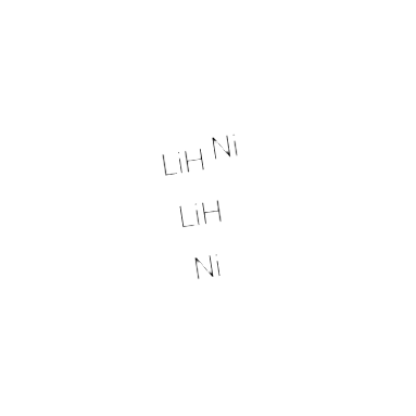 [LiH].[LiH].[Ni].[Ni]